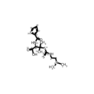 CN(C)CCNC(=S)SC(C)(C)[C@H](NC(=O)c1cccs1)C(=O)O